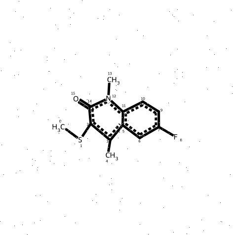 CSc1c(C)c2cc(F)ccc2n(C)c1=O